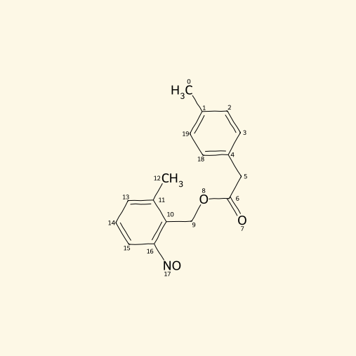 Cc1ccc(CC(=O)OCc2c(C)cccc2N=O)cc1